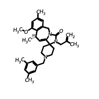 C=C(C)CN1C(=O)N2Cc3cc(C)cc(OC)c3[C@@H](C)C=C2C12CCN(Cc1cc(C)cc(C)c1)CC2